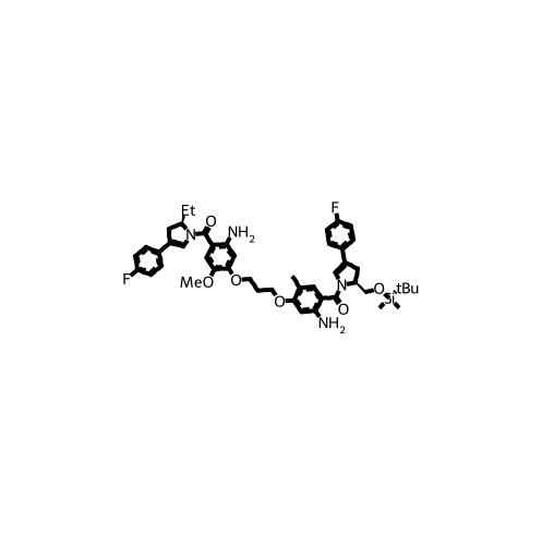 CC[C@@H]1CC(c2ccc(F)cc2)=CN1C(=O)c1cc(OC)c(OCCCOc2cc(N)c(C(=O)N3C=C(c4ccc(F)cc4)C[C@H]3CO[Si](C)(C)C(C)(C)C)cc2C)cc1N